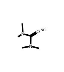 CN(C)C(=O)N(C)C.[Sn]